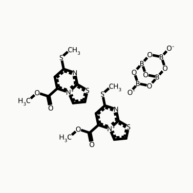 COC(=O)c1cc(SC)nc2scc[n+]12.COC(=O)c1cc(SC)nc2scc[n+]12.[O-]B1OB2OB([O-])OB(O1)O2